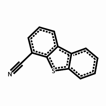 N#Cc1cccc2c1sc1ccccc12